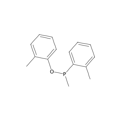 Cc1ccccc1OP(C)c1ccccc1C